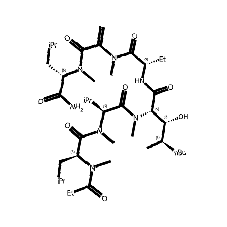 C=C(C(=O)N(C)[C@@H](CC(C)C)C(N)=O)N(C)C(=O)[C@H](CC)NC(=O)[C@H]([C@H](O)[C@H](C)CCCC)N(C)C(=O)[C@H](C(C)C)N(C)C(=O)[C@H](CC(C)C)N(C)C(=O)CC